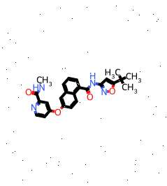 CNC(=O)c1cc(Oc2ccc3c(C(=O)Nc4cc(C(C)(C)C)on4)cccc3c2)ccn1